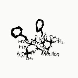 CCCCCCCCCNC1=NC(C)(C)NC(NCc2ccccc2)(OC(=O)OC2(NCc3ccccc3)NC(NCCCCCCCCC)=NC(C)(C)N2)N1